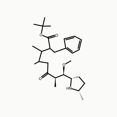 CO[C@@H]([C@@H]1CC[C@H](C)N1)[C@@H](C)C(=O)CC(C)C(C)C(Cc1ccccc1)C(=O)OC(C)(C)C